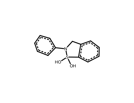 OS1(O)c2ccccc2CN1c1ccccc1